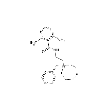 Cc1cccc(C)c1C(=O)NCC[N+]1(Cc2ccccc2)CCCCCC1